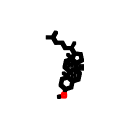 COC1CC[C@@]2(C)C(=CC[C@@H]3[C@@H]2CC[C@]2(C)C([C@H](C)CCCC(C)C)CC[C@@H]32)C1